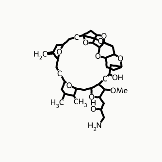 C=C1CC2CCC34CC5OC6C(OC7CCC(CC(O)CC8C(CC9OC(CCC1O2)CC(C)C9C)OC(CC(O)CN)C8OC)OC7C6O3)C5O4